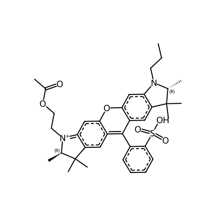 CCCN1c2cc3c(cc2C(C)(C)[C@H]1C)C(c1ccccc1S(=O)(=O)O)=c1cc2c(cc1O3)=[N+](CCOC(C)=O)[C@H](C)C2(C)C